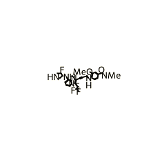 CNC(=O)c1ccc(NCC#Cc2nc3c(N[C@@H]4CNC[C@@H]4F)cccn3c2SC(F)F)c(OC)c1